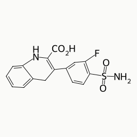 NS(=O)(=O)c1ccc(C2=C(C(=O)O)Nc3ccccc3C2)cc1F